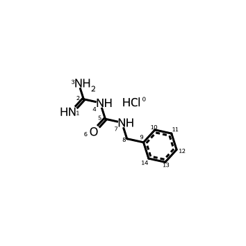 Cl.N=C(N)NC(=O)NCc1ccccc1